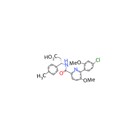 COc1cc(Cl)ccc1-c1nc(C(=O)N[C@@H](CC(=O)O)c2ccc(C)cc2)ccc1OC